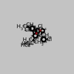 Cl.Cl.[CH2]=[Zr]([C]1=CC=CC1)([c]1cccc(Cl)c1)([c]1cccc(Cl)c1)[c]1cc(C(C)(C)C)cc2c1Cc1ccc(C(C)(C)C)cc1-2